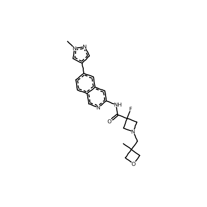 Cn1cc(-c2ccc3cnc(NC(=O)C4(F)CN(CC5(C)COC5)C4)cc3c2)cn1